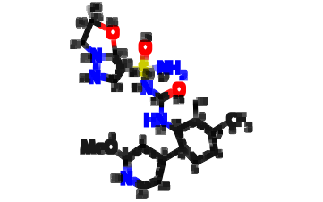 COc1cc(-c2ccc(C(F)(F)F)c(C)c2NC(=O)N=[S@](N)(=O)c2cnn3c2O[C@@H](C)C3)ccn1